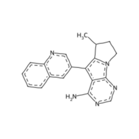 CC1CCn2c1c(-c1cnc3ccccc3c1)c1c(N)ncnc12